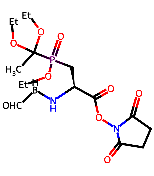 CCOC(C)(OCC)P(=O)(C[C@H](NBC=O)C(=O)ON1C(=O)CCC1=O)OCC